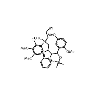 COc1ccc(OC)c(C(O[Si](C)(C)C(C)(C)C)C2C(C[N+](C=O)(CCC(C)C)c3ccc(OC)c(OC)c3Cl)N=C3C=CC=CN32)c1